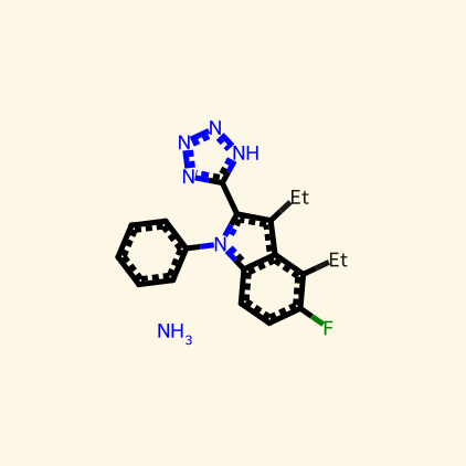 CCc1c(F)ccc2c1c(CC)c(-c1nnn[nH]1)n2-c1ccccc1.N